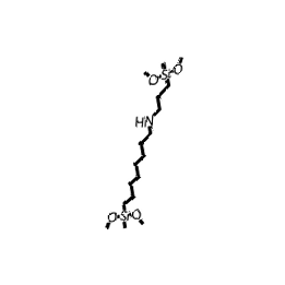 CO[Si](C)(CCCCCCCCNCCC[Si](C)(OC)OC)OC